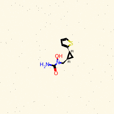 NC(=O)N(O)C[C@@H]1C[C@H]1c1cccs1